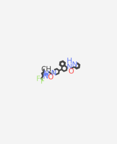 Cc1cc(C(F)F)nn1CC(=O)N1CCC(C2CCC(NC(=O)c3ccccn3)c3ccccc32)CC1